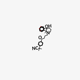 CC(C)(C#N)c1ccc(C(=O)CCCN2CCCC(O)(c3ccccc3)C2(C)c2ccccc2)cc1